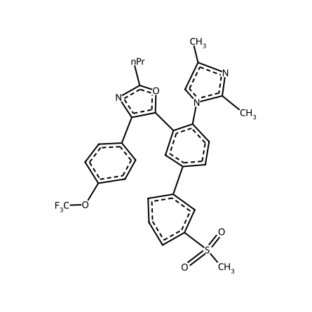 CCCc1nc(-c2ccc(OC(F)(F)F)cc2)c(-c2cc(-c3cccc(S(C)(=O)=O)c3)ccc2-n2cc(C)nc2C)o1